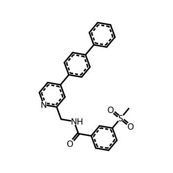 CS(=O)(=O)c1cccc(C(=O)NCc2cc(-c3ccc(-c4ccccc4)cc3)ccn2)c1